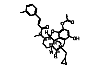 CC(=O)Oc1cc(O)c2c3c1O[C@H]1[C@H](N(C)C(=O)C=Cc4cccc(C)c4)CC[C@H]4[C@@H](C2)N(CC2CC2)CC[C@@]341